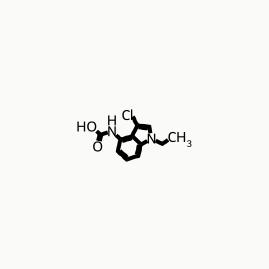 CCn1cc(Cl)c2c(NC(=O)O)cccc21